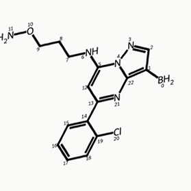 Bc1cnn2c(NCCCON)cc(-c3ccccc3Cl)nc12